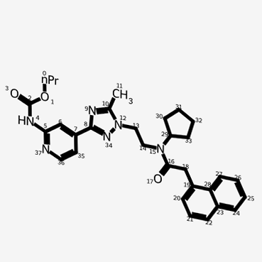 CCCOC(=O)Nc1cc(-c2nc(C)n(CCN(C(=O)Cc3cccc4ccccc34)C3CCCC3)n2)ccn1